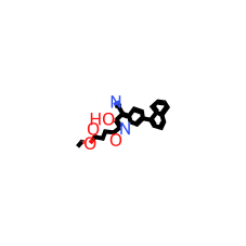 CCOC(=O)CCC(=O)c1nc2cc(-c3cccc4ccccc34)ccc2c(C#N)c1O